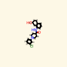 O=C(Nc1cccc2c1C[C@H](O)CC2)C1CCN(c2cccc(Cl)c2)CC1